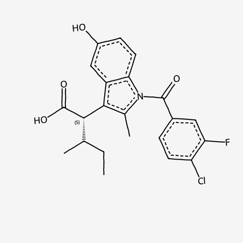 CCC(C)[C@H](C(=O)O)c1c(C)n(C(=O)c2ccc(Cl)c(F)c2)c2ccc(O)cc12